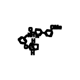 COc1cccc(-c2ccc(C(=O)NCc3cccc(O[C@@H]4C[C@H]5CC[C@@H](C4)N5C)c3)nc2)c1